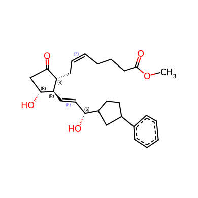 COC(=O)CCC/C=C\C[C@H]1C(=O)C[C@@H](O)[C@@H]1/C=C/[C@@H](O)C1CCC(c2ccccc2)C1